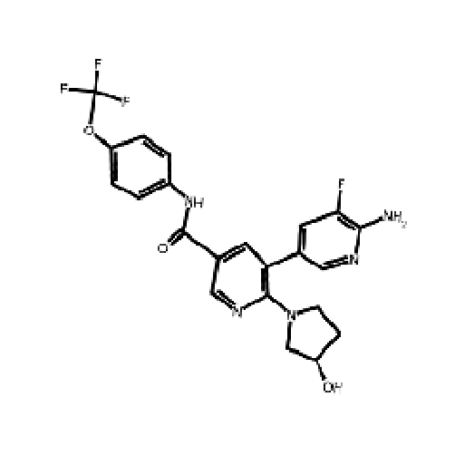 Nc1ncc(-c2cc(C(=O)Nc3ccc(OC(F)(F)F)cc3)cnc2N2CC[C@@H](O)C2)cc1F